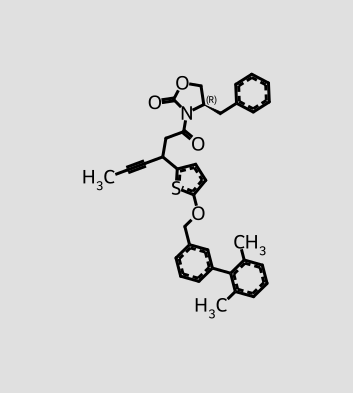 CC#CC(CC(=O)N1C(=O)OC[C@H]1Cc1ccccc1)c1ccc(OCc2cccc(-c3c(C)cccc3C)c2)s1